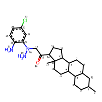 CC1CCC2C(CCC3C2CCC2(C)C(C(=O)CN(N)c4cc(Cl)ccc4N)CCC32)C1